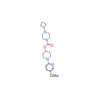 COc1ccc(N2CCC(OC(=O)N3CCN(C4CCC4)CC3)CC2)nc1